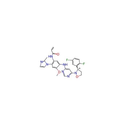 C=CC(=O)Nc1cc(Nc2cc(N3OCC[C@@H]3c3cc(F)ccc3F)ncn2)c(OC)cc1-n1ccnc1C